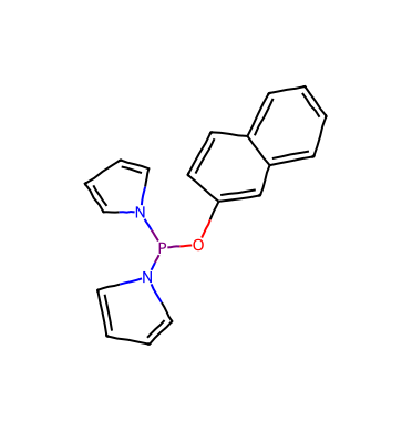 c1ccc2cc(OP(n3cccc3)n3cccc3)ccc2c1